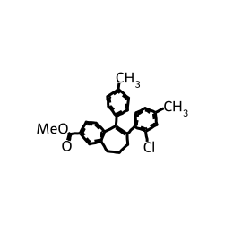 COC(=O)c1ccc2c(c1)CCCC(c1ccc(C)cc1Cl)=C2c1ccc(C)cc1